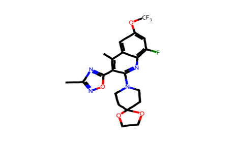 Cc1noc(-c2c(N3CCC4(CC3)OCCO4)nc3c(F)cc(OC(F)(F)F)cc3c2C)n1